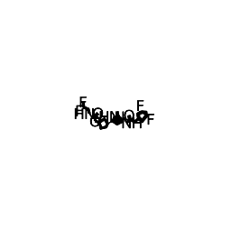 O=C(Cc1cc(F)cc(F)c1)Nc1cc([C@H]2CCC(OC(=O)NCC(F)F)C2)[nH]n1